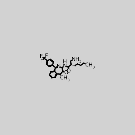 CCCCC[C@@H](CN)C(=O)NC1N=C(c2ccc(C(F)(F)F)cc2)c2ccccc2C(C)C1=O